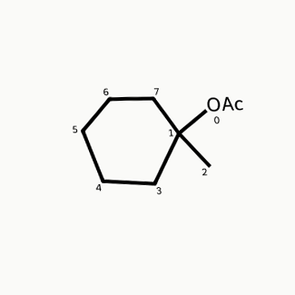 [CH2]C(=O)OC1(C)CCCCC1